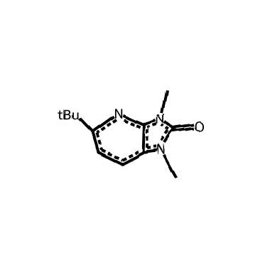 Cn1c(=O)n(C)c2nc(C(C)(C)C)ccc21